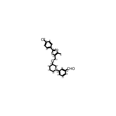 Cc1nc(-c2ccc(Cl)cc2)sc1COC1CCCN(c2cccc(C=O)c2)C1